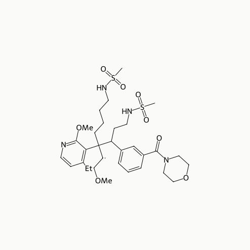 CCc1ccnc(OC)c1C([CH]COC)(CCCCNS(C)(=O)=O)C(CCNS(C)(=O)=O)c1cccc(C(=O)N2CCOCC2)c1